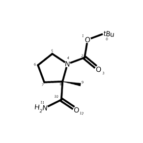 CC(C)(C)OC(=O)N1CCC[C@@]1(C)C(N)=O